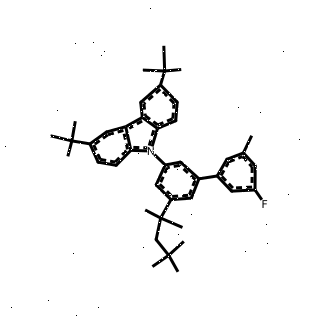 Cc1cc(F)cc(-c2cc(-n3c4ccc(C(C)(C)C)cc4c4cc(C(C)(C)C)ccc43)cc(C(C)(C)CC(C)(C)C)c2)c1